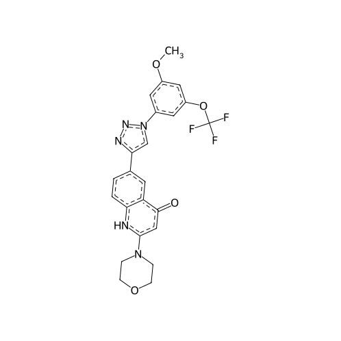 COc1cc(OC(F)(F)F)cc(-n2cc(-c3ccc4[nH]c(N5CCOCC5)cc(=O)c4c3)nn2)c1